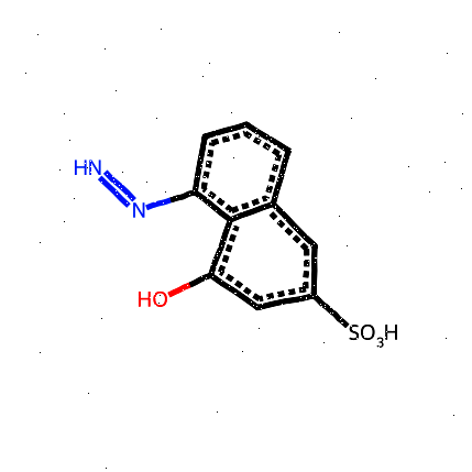 N=Nc1cccc2cc(S(=O)(=O)O)cc(O)c12